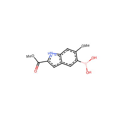 COC(=O)c1cc2cc(B(O)O)c(OC)cc2[nH]1